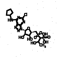 CC(O)C(P(=O)(O)O)S(=O)(=O)C[C@H]1O[C@@H](n2nnc3c(NC4CCCC4)nc(Cl)nc32)[C@H](O)[C@@H]1O